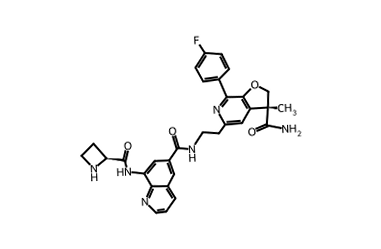 C[C@]1(C(N)=O)COc2c1cc(CCNC(=O)c1cc(NC(=O)[C@@H]3CCN3)c3ncccc3c1)nc2-c1ccc(F)cc1